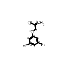 C=C(Cl)COc1[c]c(F)cc(F)c1